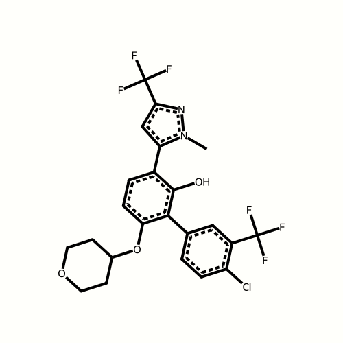 Cn1nc(C(F)(F)F)cc1-c1ccc(OC2CCOCC2)c(-c2ccc(Cl)c(C(F)(F)F)c2)c1O